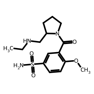 CCNCC1CCCN1C(=O)c1cc(S(N)(=O)=O)ccc1OC